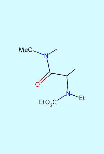 CCOC(=O)N(CC)C(C)C(=O)N(C)OC